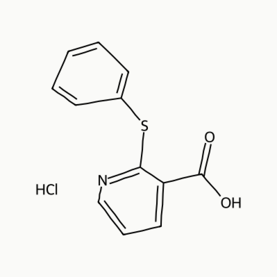 Cl.O=C(O)c1cccnc1Sc1ccccc1